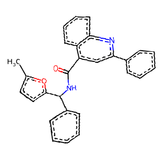 Cc1ccc(C(NC(=O)c2cc(-c3ccccc3)nc3ccccc23)c2ccccc2)o1